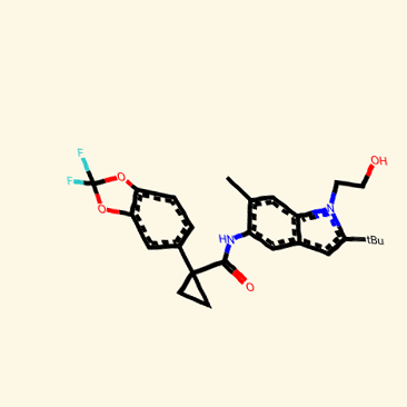 Cc1cc2c(cc1NC(=O)C1(c3ccc4c(c3)OC(F)(F)O4)CC1)cc(C(C)(C)C)n2CCO